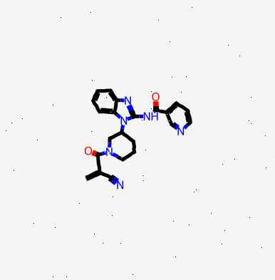 C=C(C#N)C(=O)N1CCCC(n2c(NC(=O)c3cccnc3)nc3ccccc32)C1